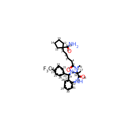 CN(C(=O)CCCCC1(C(N)=O)CCCC1)C1(C)N=C(c2ccc(C(F)(F)F)cc2)c2ccccc2NC1=O